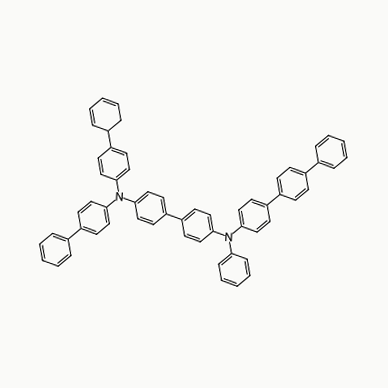 C1=CCC(c2ccc(N(c3ccc(-c4ccccc4)cc3)c3ccc(-c4ccc(N(c5ccccc5)c5ccc(-c6ccc(-c7ccccc7)cc6)cc5)cc4)cc3)cc2)C=C1